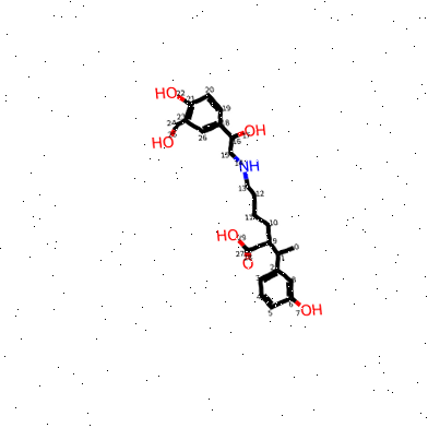 CC(c1cccc(O)c1)C(CCCCNCC(O)c1ccc(O)c(CO)c1)C(=O)O